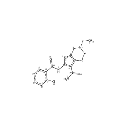 CCN1CCc2c(sc(NC(=O)c3ccccc3Cl)c2C(N)=O)C1